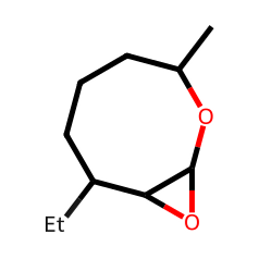 CCC1CCCC(C)OC2OC12